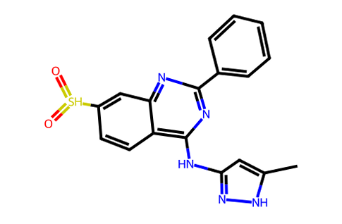 Cc1cc(Nc2nc(-c3ccccc3)nc3cc([SH](=O)=O)ccc23)n[nH]1